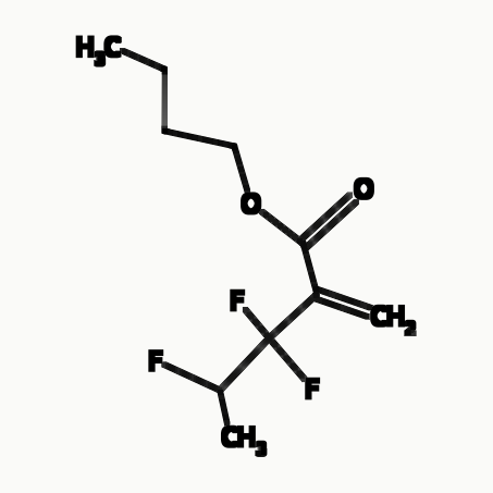 C=C(C(=O)OCCCC)C(F)(F)C(C)F